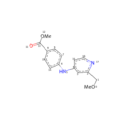 COCc1cc(Nc2ccc(C(=O)OC)cc2)ccn1